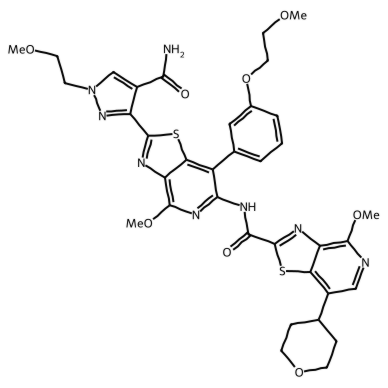 COCCOc1cccc(-c2c(NC(=O)c3nc4c(OC)ncc(C5CCOCC5)c4s3)nc(OC)c3nc(-c4nn(CCOC)cc4C(N)=O)sc23)c1